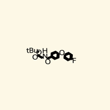 CC(C)(C)OC(=O)CNC(=O)c1ccc(Oc2ccc(F)cc2)cc1